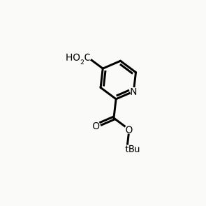 CC(C)(C)OC(=O)c1cc(C(=O)O)ccn1